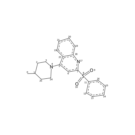 CC1CCN(c2cc(S(=O)(=O)c3ccccc3)nc3ccccc23)CC1